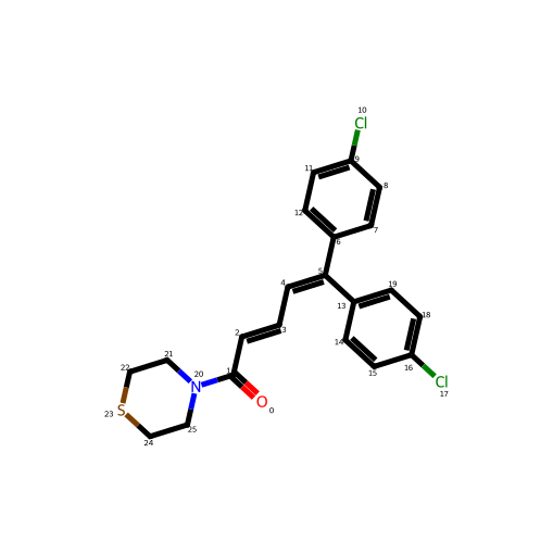 O=C(/C=C/C=C(c1ccc(Cl)cc1)c1ccc(Cl)cc1)N1CCSCC1